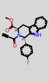 C#CC(=O)N1[C@@H](c2ccc(F)cc2)c2[nH]c3ccccc3c2C[C@@H]1C(=O)OC